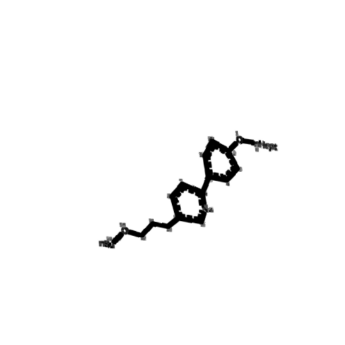 CCCCCCCOc1ccc(-c2ccc(CCCOCCCC)cn2)cc1